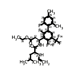 C=CNC(CC(C)C)C(=O)N[C@@H](CC(=O)OCC)c1c(F)c(-c2c(C)cc(C)cc2F)cc(C(F)(F)F)c1F